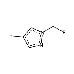 [CH2]c1cnn(CF)c1